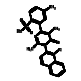 Cc1ccc(S(=O)(=O)O)c(-c2nc(C)n(-c3ccc4ccccc4c3Cl)c(=O)c2C)c1